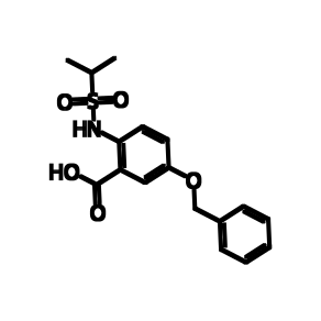 CC(C)S(=O)(=O)Nc1ccc(OCc2ccccc2)cc1C(=O)O